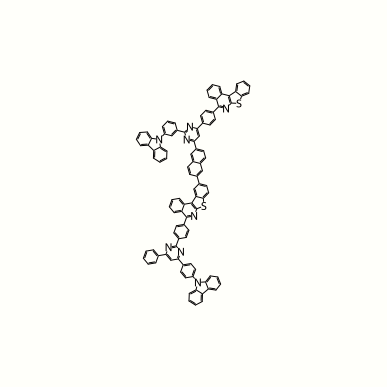 c1ccc(-c2cc(-c3ccc(-n4c5ccccc5c5ccccc54)cc3)nc(-c3ccc(-c4nc5sc6ccc(-c7ccc8cc(-c9cc(-c%10ccc(-c%11nc%12sc%13ccccc%13c%12c%12ccccc%11%12)cc%10)nc(-c%10cccc(-n%11c%12ccccc%12c%12ccccc%12%11)c%10)n9)ccc8c7)cc6c5c5ccccc45)cc3)n2)cc1